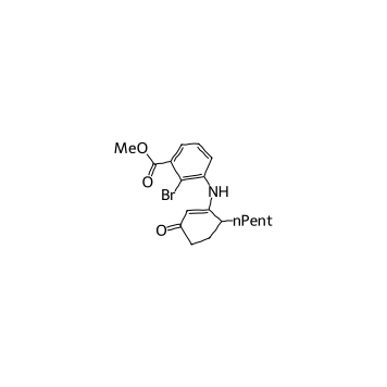 CCCCCC1CCC(=O)C=C1Nc1cccc(C(=O)OC)c1Br